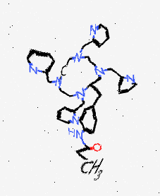 CCC(=O)Nc1ccc(CC2CN(Cc3ccccn3)CCN(Cc3ccccn3)CCN(Cc3ccccn3)CCN2Cc2ccccn2)cc1